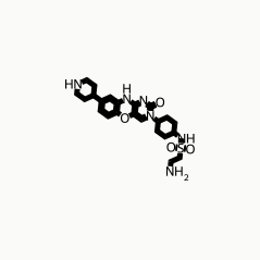 NCCS(=O)(=O)NC1CCC(n2cc3c(nc2=O)Nc2cc(C4CCNCC4)ccc2O3)CC1